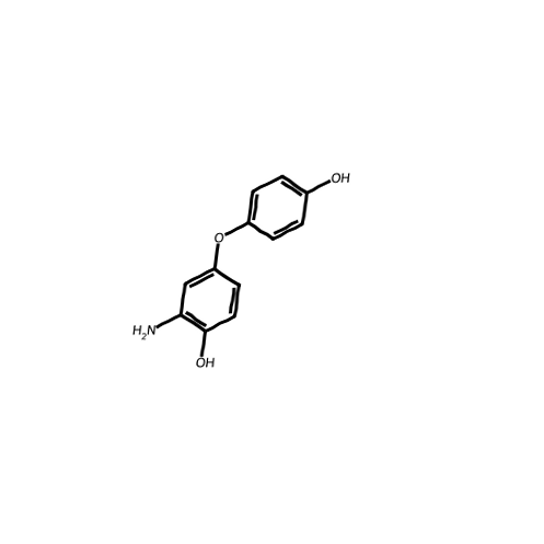 Nc1cc(Oc2ccc(O)cc2)ccc1O